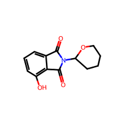 O=C1c2cccc(O)c2C(=O)N1C1CCCCO1